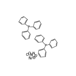 O=[N+]([O-])[O-].O=[N+]([O-])[O-].[Ni+2].c1ccc(P(c2ccccc2)c2ccccc2)cc1.c1ccc(P(c2ccccc2)c2ccccc2)cc1